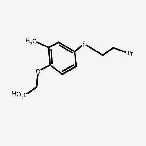 Cc1cc(SCCC(C)C)ccc1OCC(=O)O